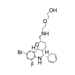 OCCOCCNC[C@H]1CC[C@@H]2[C@H](O1)c1cc(Br)cc(F)c1N[C@H]2C1C=CC=CC1